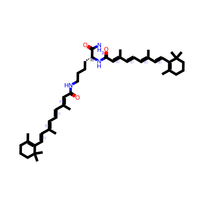 CC1=C(/C=C/C(C)=C/C=C/C(C)=C/C(=O)NCCCC[C@@H](NC(=O)/C=C(C)/C=C/C=C(C)/C=C/C2=C(C)CCCC2(C)C)C(N)=O)C(C)(C)CCC1